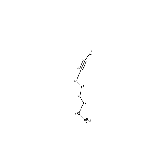 [Li][C]#CCCCCOCCCC